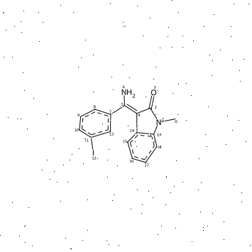 CN1C(=O)/C(=C(\N)c2cccc(I)c2)c2ccccc21